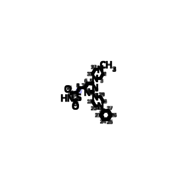 CN1CCN(c2cc(/C=C3\SC(=O)NC3=O)nc(N3CCN(c4ccccc4)CC3)n2)CC1